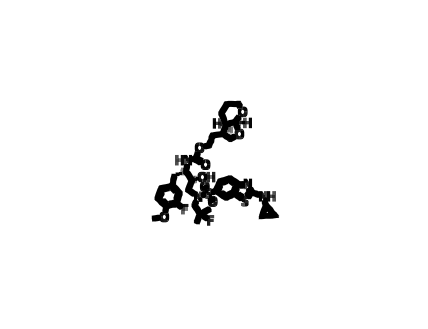 COc1ccc(C[C@H](NC(=O)OCCC2CO[C@@H]3OCCC[C@H]23)[C@H](O)CN(CC(C)(C)F)S(=O)(=O)c2ccc3nc(NC4CC4)sc3c2)cc1F